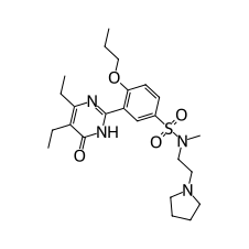 CCCOc1ccc(S(=O)(=O)N(C)CCN2CCCC2)cc1-c1nc(CC)c(CC)c(=O)[nH]1